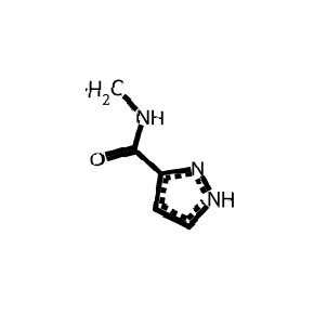 [CH2]NC(=O)c1cc[nH]n1